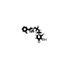 Cc1ccccc1-c1cn(CC(C)(C)CC(C)(C)n2ccc(=O)c(O)c2C)nn1